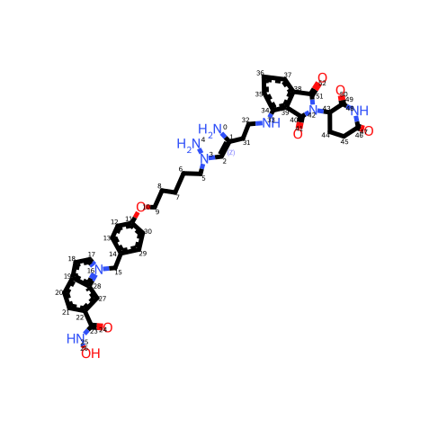 N/C(=C\N(N)CCCCCOc1ccc(Cn2ccc3ccc(C(=O)NO)cc32)cc1)CCNc1cccc2c1C(=O)N(C1CCC(=O)NC1=O)C2=O